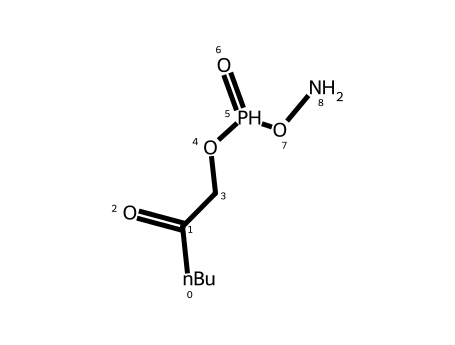 CCCCC(=O)CO[PH](=O)ON